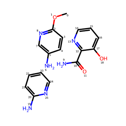 COc1ccc(N)cn1.NC(=O)c1ncccc1O.Nc1ccccn1